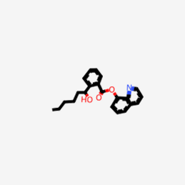 CCCCCC(O)c1ccccc1C(=O)Oc1cccc2cccnc12